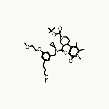 COCCCc1cc(CN(C(=O)C2CN(C(=O)OC(C)(C)C)CCC2c2cc(=O)n(C)c(C)c2C)C2CC2)cc(OCCOC)c1